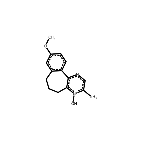 COc1ccc2c(c1)CCCc1c-2ncc(N)[n+]1O